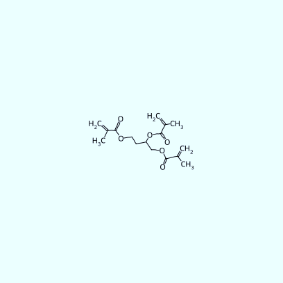 C=C(C)C(=O)OCCC(COC(=O)C(=C)C)OC(=O)C(=C)C